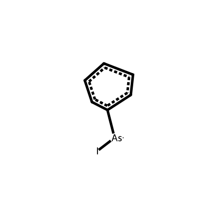 I[As]c1ccccc1